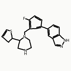 Fc1ccc(-c2ccc3[nH]ncc3c2)cc1CN1CCNCC1C1CC=CS1